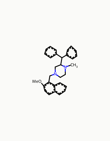 COc1ccc2ccccc2c1CN1CCN(C)C(C(c2ccccc2)c2ccccc2)C1